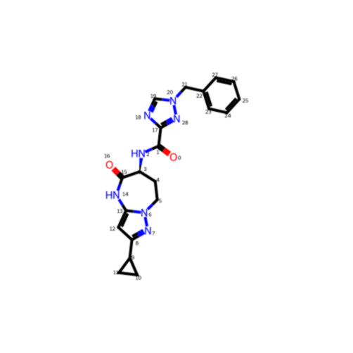 O=C(N[C@H]1CCn2nc(C3CC3)cc2NC1=O)c1ncn(Cc2ccccc2)n1